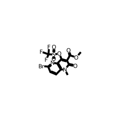 COC(=O)c1c(OS(=O)(=O)C(F)(F)F)c2nc(Br)ccc2n(C)c1=O